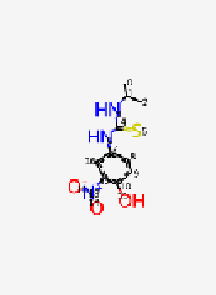 CC(C)NC(=S)Nc1ccc(O)c([N+](=O)[O-])c1